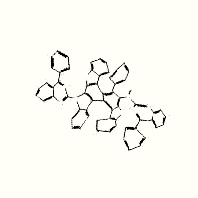 CN(c1nc(-c2ccccc2)c2ccccc2n1)c1c(-c2ccccc2)c2c3c4ccccc4sc3c3c(c4ccccc4n3-c3nc(-c4ccccc4)c4ccccc4n3)c2c2c3c(sc12)C=CCC3